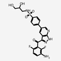 Nc1ccc(F)c(C(=O)c2n[nH]c3ncc(-c4ccc(S(=O)(=O)NCC(O)CO)cc4)cc23)c1F